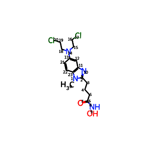 Cn1c(CCCC(=O)NO)nc2cc(N(CCCl)CCCl)ccc21